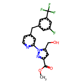 COC(=O)c1cc(CO)n(-c2cc(Cc3cc(F)cc(C(F)(F)F)c3)ccn2)n1